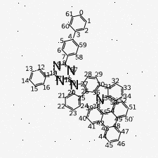 c1ccc(-c2ccc(-c3nc(-c4ccccc4)nc(-n4c5ccccc5c5c4ccc4c6ccccc6n(-c6cccc7c8ccccc8c8ccccc8c67)c45)n3)cc2)cc1